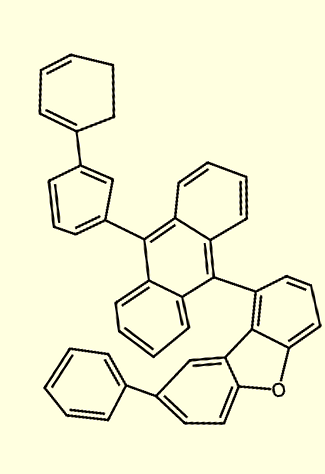 C1=CCCC(c2cccc(-c3c4ccccc4c(-c4cccc5oc6ccc(-c7ccccc7)cc6c45)c4ccccc34)c2)=C1